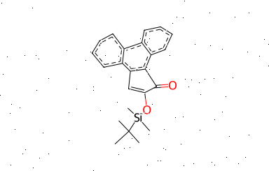 CC(C)(C)[Si](C)(C)OC1=Cc2c(c3ccccc3c3ccccc23)C1=O